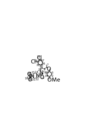 COc1ccc(O[C@H](C)[C@@H]2CN(C(=O)N3CCN(S(C)(=O)=O)CC3)C[C@H]2c2ccc(Cl)c(Cl)c2)cc1